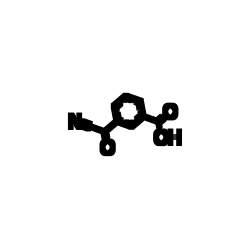 N#CC(=O)c1cccc(C(=O)O)c1